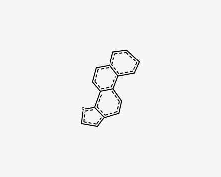 c1ccc2c(c1)ccc1c2ccc2ccsc21